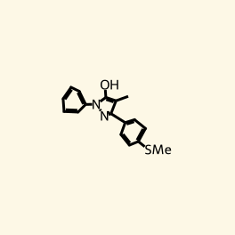 CSc1ccc(-c2nn(-c3ccccc3)c(O)c2C)cc1